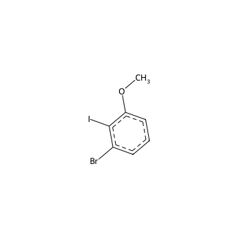 COc1cccc(Br)c1I